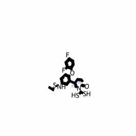 C/C=C\C(=C/N(C=O)C(S)S)c1cc(NSCC)ccc1Oc1ccc(F)cc1F